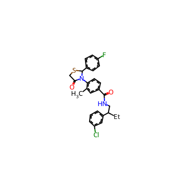 CCC(CNC(=O)c1ccc(N2C(=O)CSC2c2ccc(F)cc2)c(C)c1)c1cccc(Cl)c1